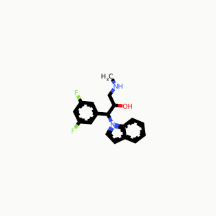 CNCC(O)C(c1cc(F)cc(F)c1)n1ccc2ccccc21